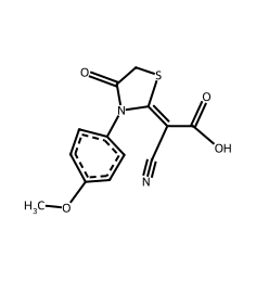 COc1ccc(N2C(=O)CS/C2=C(/C#N)C(=O)O)cc1